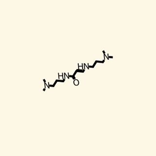 CN(C)CCCNC=CC(=O)NCCCN(C)C